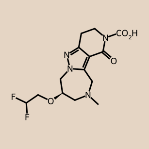 CN1Cc2c3c(nn2C[C@H](OCC(F)F)C1)CCN(C(=O)O)C3=O